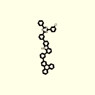 Clc1cccc(-c2nc(-c3ccccc3)nc(-c3cccc(-c4ccc5c(c4)[nH]c4c(-c6cccc(-c7ccc8c9ccccc9c9ccccc9c8c7)c6)cccc45)c3)n2)c1